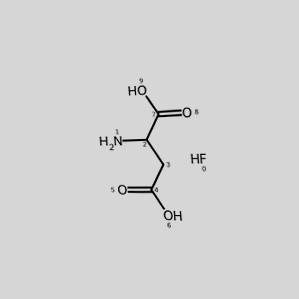 F.NC(CC(=O)O)C(=O)O